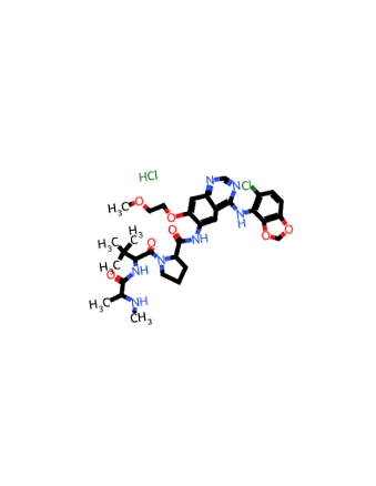 CNC(C)C(=O)NC(C(=O)N1CCCC1C(=O)Nc1cc2c(Nc3c(Cl)ccc4c3OCO4)ncnc2cc1OCCOC)C(C)(C)C.Cl